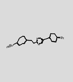 CCCCC1CCC(CCc2ncc(C3CCC(CCC)CC3)cn2)CC1